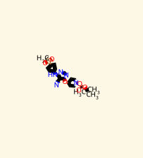 CC(C)(C)OC(=O)ON1CCC(Oc2ncnc(Nc3ccc(S(C)(=O)=O)cc3)c2C#N)CC1